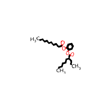 CCCCCCCCCCC(=O)Oc1ccccc1OC(=O)C(CCC)CCCCCC